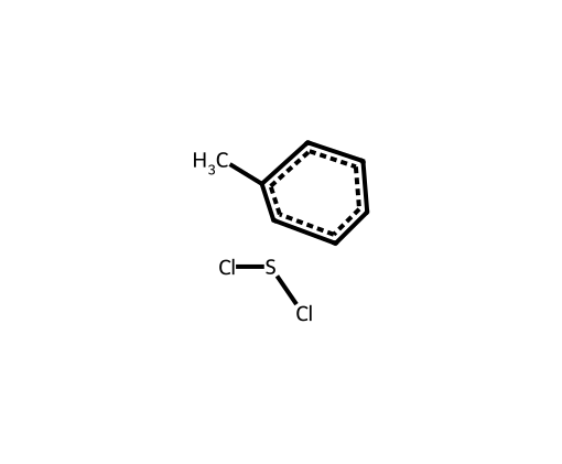 Cc1ccccc1.ClSCl